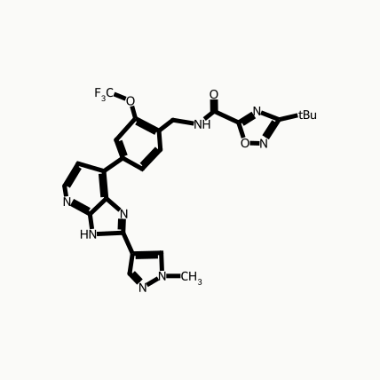 Cn1cc(-c2nc3c(-c4ccc(CNC(=O)c5nc(C(C)(C)C)no5)c(OC(F)(F)F)c4)ccnc3[nH]2)cn1